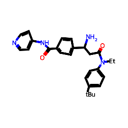 CCN(C(=O)CC(N)c1ccc(C(=O)Nc2ccncc2)cc1)c1ccc(C(C)(C)C)cc1